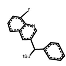 CC(C)(C)C(c1ccccc1)c1cnc2c(F)cccc2c1